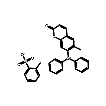 Cc1cc2ccc(=O)oc2cc1[S+](c1ccccc1)c1ccccc1.Cc1ccccc1S(=O)(=O)[O-]